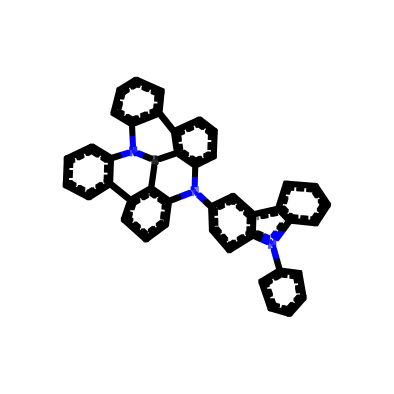 c1ccc(-n2c3ccccc3c3cc(N4c5cccc6c5B5c7c(cccc74)-c4ccccc4N5c4ccccc4-6)ccc32)cc1